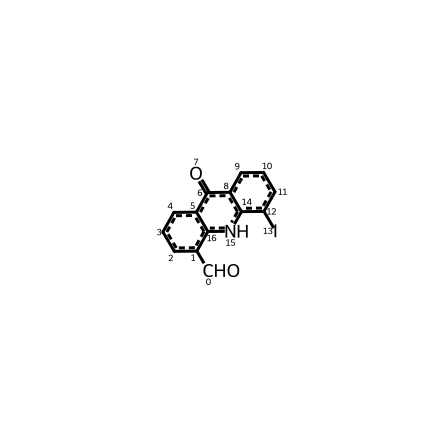 O=Cc1cccc2c(=O)c3cccc(I)c3[nH]c12